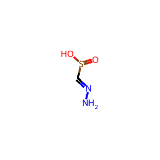 NN=CS(=O)O